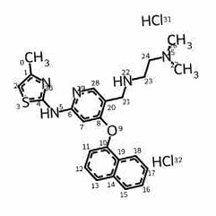 Cc1csc(Nc2cc(Oc3cccc4ccccc34)c(CNCCN(C)C)cn2)n1.Cl.Cl